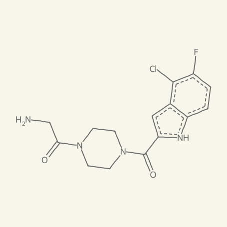 NCC(=O)N1CCN(C(=O)c2cc3c(Cl)c(F)ccc3[nH]2)CC1